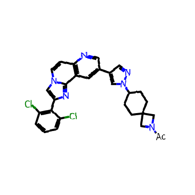 CC(=O)N1CC2(CCC(n3cc(-c4cnc5ccn6cc(-c7c(Cl)cccc7Cl)nc6c5c4)cn3)CC2)C1